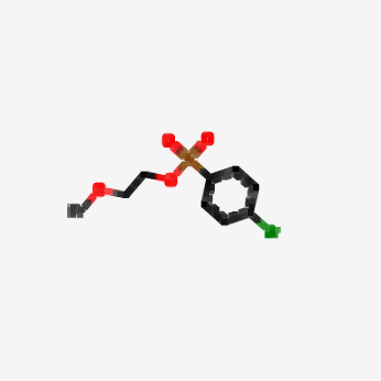 CC(C)OCCOS(=O)(=O)c1ccc(Br)cc1